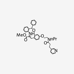 CCCN(CCOc1ccc(C[C@H](Nc2ccccc2C(=O)c2ccccc2)C(=O)OC)cc1)C(=O)CCc1cccnc1